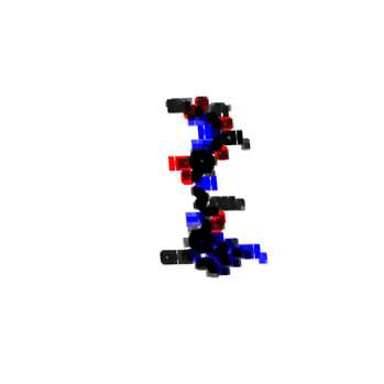 COC(=O)[C@H](CCCNC(=O)c1ccc(NC(=O)[C@H](C)NC(=O)[C@@H](NC(=O)OC(C)(C)C)C(C)C)cc1O)NC(=O)c1ccc(N(C=O)Cc2cnc3nc(N)nc(N)c3n2)cc1